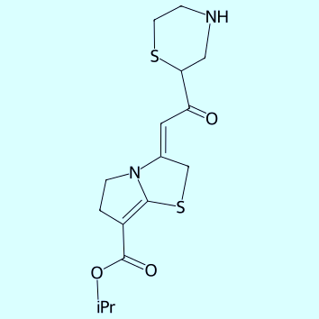 CC(C)OC(=O)C1=C2SC/C(=C\C(=O)C3CNCCS3)N2CC1